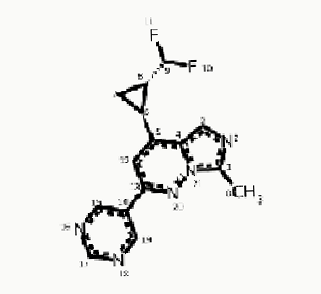 Cc1ncc2c([C@H]3C[C@@H]3C(F)F)cc(-c3cncnc3)nn12